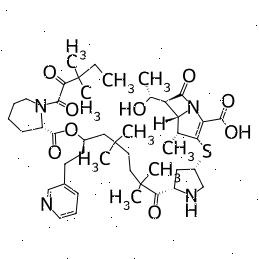 CCC(C)(C)C(=O)C(=O)N1CCCC[C@H]1C(=O)O[C@H](CCc1cccnc1)CC(C)(C)CCC(C)(C)C(=O)[C@@H]1C[C@H](SC2=C(C(=O)O)N3C(=O)[C@H]([C@@H](C)O)[C@H]3[C@H]2C)CN1